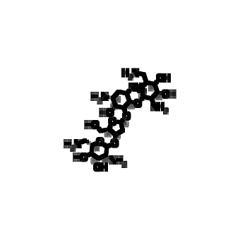 NCC1O[C@H](O[C@@H]2C(N)C[C@@H](N)[C@@H](O)C2O[C@H]2C[C@@H](OC3O[C@@H](CN)C(O)[C@@H](O)[C@H]3N)[C@@H](CO)O2)C(N)[C@@H](O)[C@@H]1O